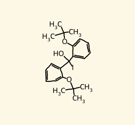 CC(C)(C)Oc1ccccc1C(O)(I)c1ccccc1OC(C)(C)C